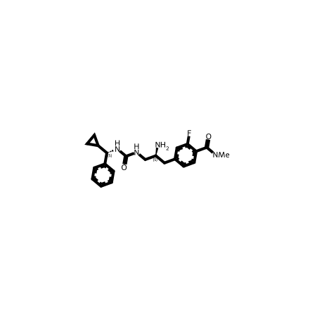 CNC(=O)c1ccc(C[C@H](N)CNC(=O)N[C@H](c2ccccc2)C2CC2)cc1F